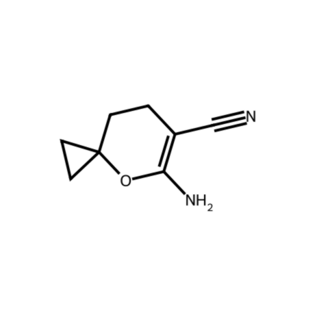 N#CC1=C(N)OC2(CC1)CC2